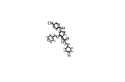 [C-]#[N+]c1cnc(Nc2cc(OCC3CCOCC3)c(NC(=O)CCC3CCNCC3)cn2)cn1